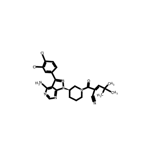 CC(C)(C)/C=C(\C#N)C(=O)N1CCC[C@@H](n2nc(-c3ccc(Cl)c(Cl)c3)c3c(N)ncnc32)C1